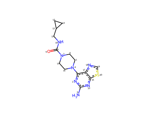 Nc1nc(N2CCN(C(=O)NCC3CC3)CC2)c2ncsc2n1